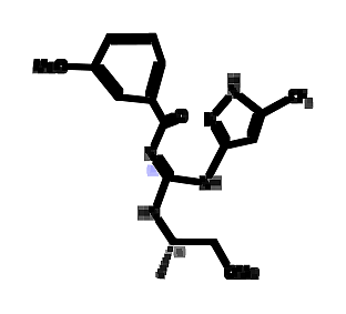 COC[C@H](C)N/C(=N/C(=O)c1cccc(OC)c1)Nc1cc(C(F)(F)F)[nH]n1